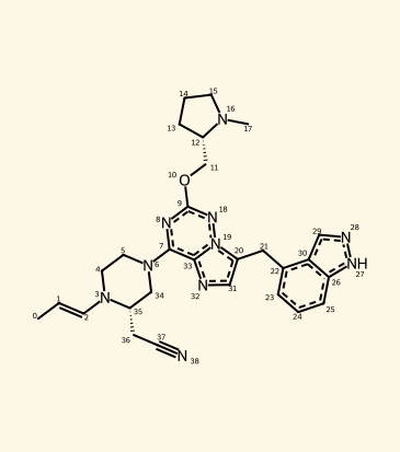 CC=CN1CCN(c2nc(OC[C@@H]3CCCN3C)nn3c(Cc4cccc5[nH]ncc45)cnc23)C[C@@H]1CC#N